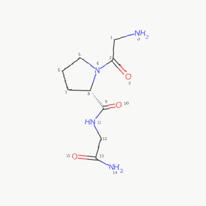 NCC(=O)N1CCC[C@H]1C(=O)NCC(N)=O